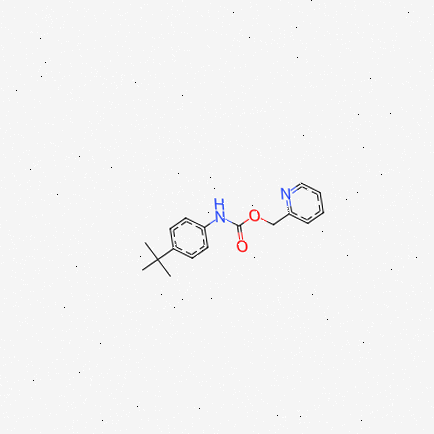 CC(C)(C)c1ccc(NC(=O)OCc2ccccn2)cc1